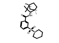 CC1(C)[C@@H]2CC[C@](C)(C2)[C@H]1NC(=O)c1cccc(S(=O)(=O)N2CCCCC2)c1